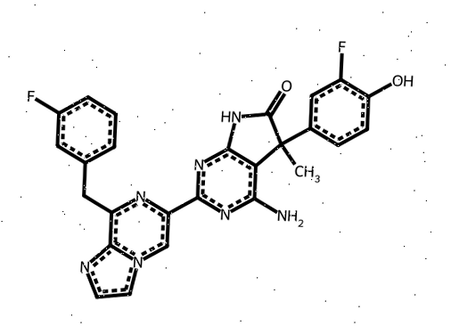 CC1(c2ccc(O)c(F)c2)C(=O)Nc2nc(-c3cn4ccnc4c(Cc4cccc(F)c4)n3)nc(N)c21